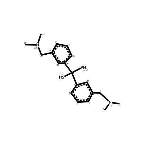 CN(C)Cc1cccc(C(P)(S)c2cccc(CN(C)C)c2)c1